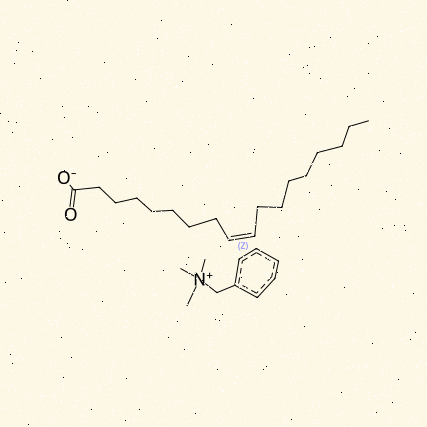 CCCCCCCC/C=C\CCCCCCCC(=O)[O-].C[N+](C)(C)Cc1ccccc1